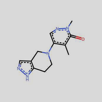 Cc1c(N2CCc3[nH]ncc3C2)cnn(C)c1=O